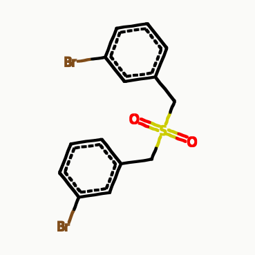 O=S(=O)(Cc1cccc(Br)c1)Cc1cccc(Br)c1